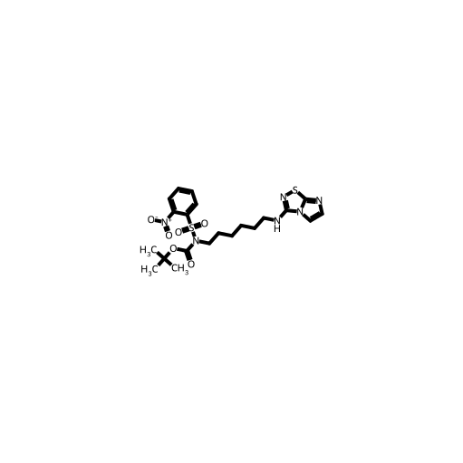 CC(C)(C)OC(=O)N(CCCCCCNc1nsc2nccn12)S(=O)(=O)c1ccccc1[N+](=O)[O-]